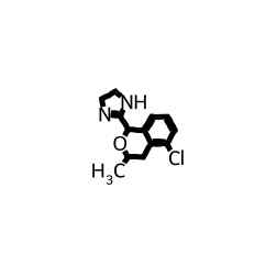 CC1Cc2c(Cl)cccc2C(C2=NCCN2)O1